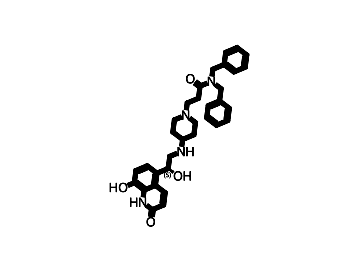 O=C(CCN1CCC(NC[C@@H](O)c2ccc(O)c3[nH]c(=O)ccc23)CC1)N(Cc1ccccc1)Cc1ccccc1